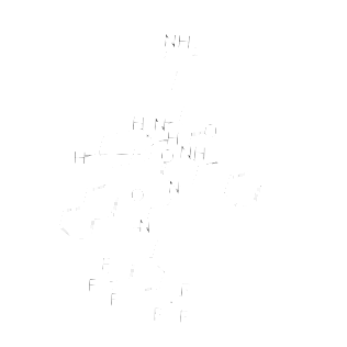 NCCCC[C@H](N)C(=O)N[C@@H](Cc1ccccc1)CN(CC(=O)N(Cc1cc(C(F)(F)F)cc(C(F)(F)F)c1)Cc1cccc2ccccc12)C(=O)C[C@]12CC3C[C@H](C[C@H](C3)C1)C2